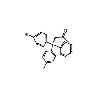 CC(=O)C[C@@](c1ccncc1)(c1ccc(C)cc1)c1ccc(Br)cc1